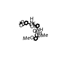 COc1cccc(OC)c1CNC(=O)Nc1cccc(C[C@@H](C)NC(CO)c2ccc3c(c2)COC(C)(C)O3)c1